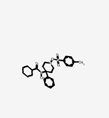 Cc1ccc(S(=O)(=O)ON2CCC(c3ccccc3)(N(C)C(=O)C3CCCCC3)CC2)cc1